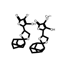 O=C1OC(C2COC3(O2)C2CC4CC(C2)CC3C4)C(O)=C1[O-].O=C1OC(C2COC3(O2)C2CC4CC(C2)CC3C4)C(O)=C1[O-].[Ca+2]